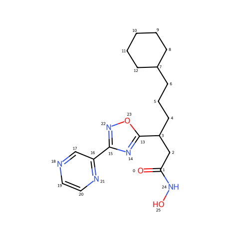 O=C(CC(CCCC1CCCCC1)c1nc(-c2cnccn2)no1)NO